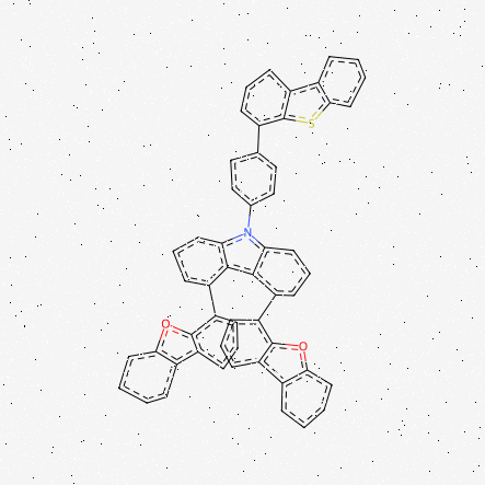 c1ccc2c(c1)oc1c(-c3cccc4c3c3c(-c5cccc6c5oc5ccccc56)cccc3n4-c3ccc(-c4cccc5c4sc4ccccc45)cc3)cccc12